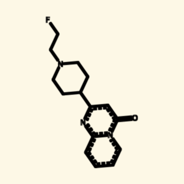 O=c1cc(C2CCN(CCF)CC2)nc2ccccn12